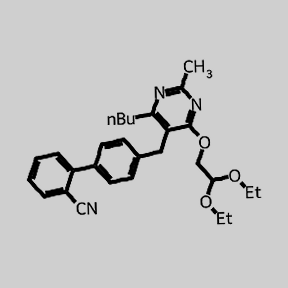 CCCCc1nc(C)nc(OCC(OCC)OCC)c1Cc1ccc(-c2ccccc2C#N)cc1